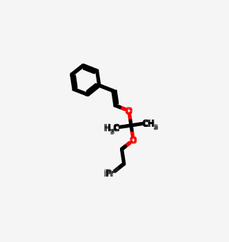 CC(C)CCOC(C)(C)OC=Cc1ccccc1